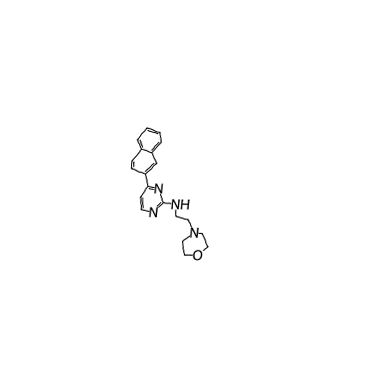 c1ccc2cc(-c3ccnc(NCCN4CCOCC4)n3)ccc2c1